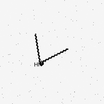 CCCCCCCCCCCCCCCCCCc1[nH]cc[n+]1CCCCCCCCCCCCCCCCCC